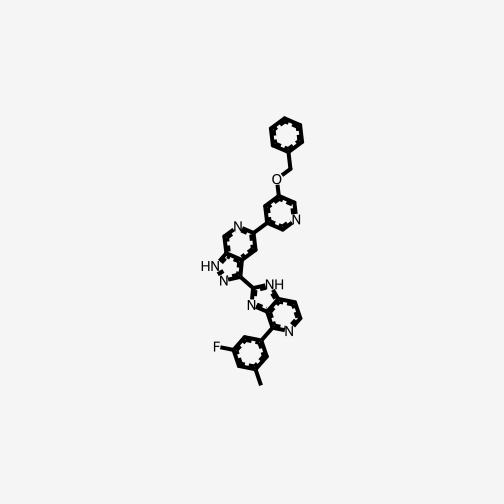 Cc1cc(F)cc(-c2nccc3[nH]c(-c4n[nH]c5cnc(-c6cncc(OCc7ccccc7)c6)cc45)nc23)c1